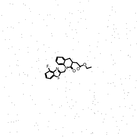 CCOC(=O)CC1Cc2ccccc2N(Cc2nc3c(F)cccc3s2)C1=O